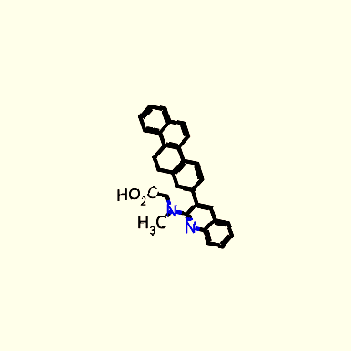 CN(CC(=O)O)c1nc2ccccc2cc1C1C=CC2=C(CCc3c2ccc2ccccc32)C1